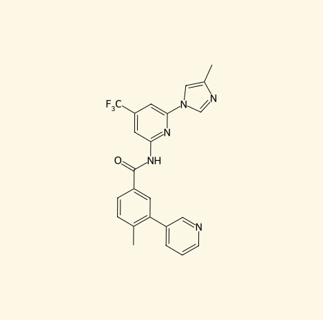 Cc1cn(-c2cc(C(F)(F)F)cc(NC(=O)c3ccc(C)c(-c4cccnc4)c3)n2)cn1